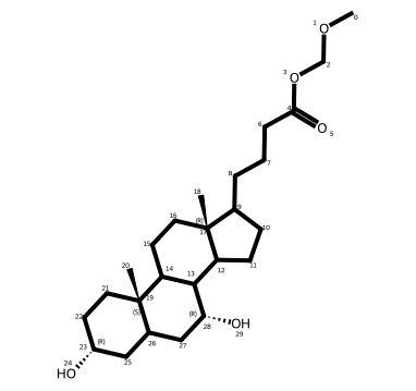 COCOC(=O)CCCC1CCC2C3C(CC[C@]12C)[C@@]1(C)CC[C@@H](O)CC1C[C@H]3O